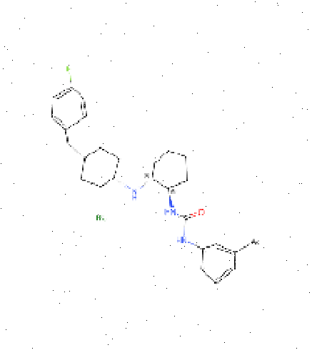 CC(=O)c1cccc(NC(=O)N[C@@H]2CCCC[C@H]2N[C@H]2CC[C@@H](Cc3ccc(F)cc3)CC2)c1.Cl